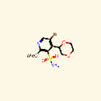 COc1ncc(Br)c(C2COCCO2)c1S(N)(=O)=O